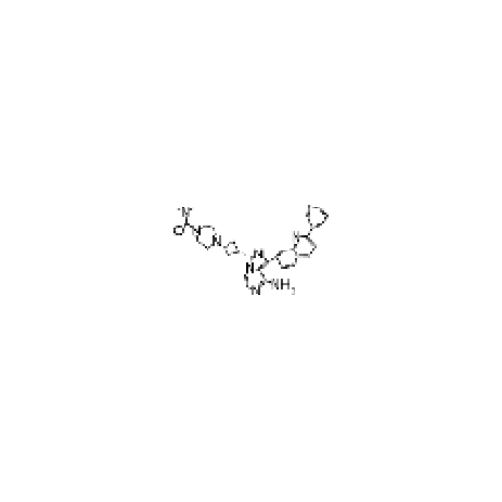 CN(C)C(=O)N1CCN([C@H]2C[C@@H](c3nc(-c4ccc5ccc(-c6ccccc6)nc5c4)c4c(N)nccn43)C2)CC1